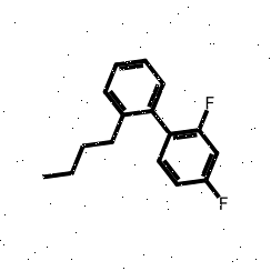 CCCCc1ccccc1-c1ccc(F)cc1F